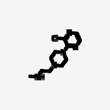 CNCCN1CCN(c2nccnc2Cl)CC1